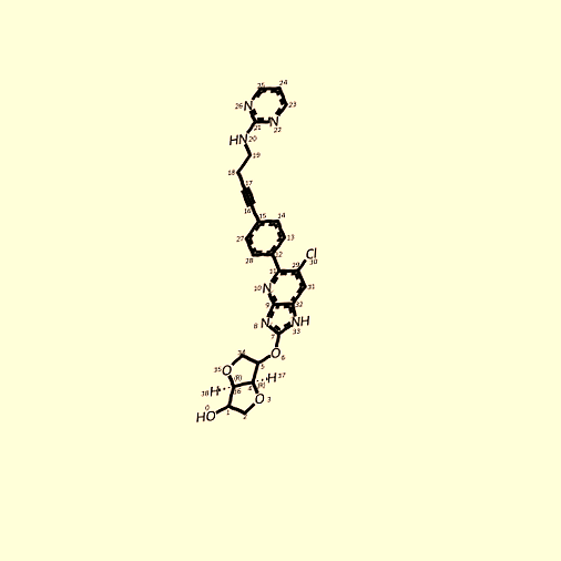 OC1CO[C@@H]2C(Oc3nc4nc(-c5ccc(C#CCCNc6ncccn6)cc5)c(Cl)cc4[nH]3)CO[C@H]12